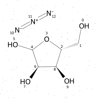 OC[C@H]1OC(O)[C@H](O)[C@@H]1O.[N-]=[N+]=[N-]